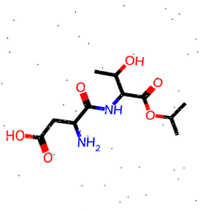 CC(C)OC(=O)C(NC(=O)C(N)CC(=O)O)C(C)O